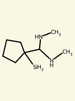 CNC(NC)C1([SiH3])CCCC1